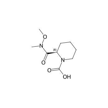 CON(C)C(=O)[C@H]1CCCCN1C(=O)O